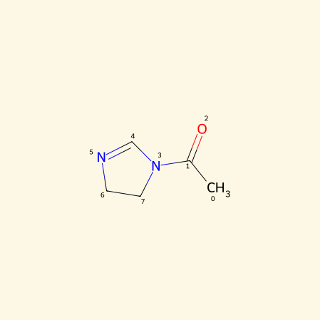 CC(=O)N1C=NCC1